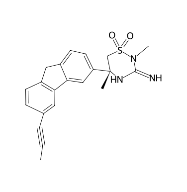 CC#Cc1ccc2c(c1)-c1cc([C@]3(C)CS(=O)(=O)N(C)C(=N)N3)ccc1C2